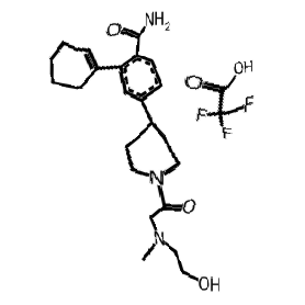 CN(CCO)CC(=O)N1CCC(c2ccc(C(N)=O)c(C3=CCCCC3)c2)CC1.O=C(O)C(F)(F)F